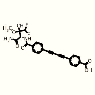 COC(C)(C(F)F)[C@H](NC(=O)c1ccc(C#CC#Cc2ccc(C(=O)O)cc2)cc1)C(N)=O